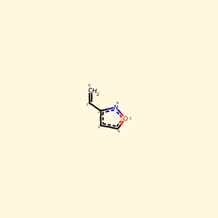 C=Cc1ccon1